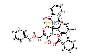 Cc1ccc([C@@]2(N3C(=O)c4ccccc4C3=O)[C@H](S)O[C@H](COCc3ccccc3)[C@@H](O)[C@@H]2OC(=O)c2ccccc2)cc1